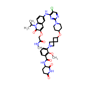 CNC(=O)COc1cc2cc(Nc3nc(N4CCC(OC5CC6(C5)CN(c5cccc(C(=O)NC7CCC(=O)NC7=O)c5OC)C6)CC4)ncc3Cl)ccc2n(C(C)C)c1=O